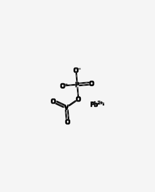 [O]=[V](=[O])[O]P(=O)([O-])[O-].[Pb+2]